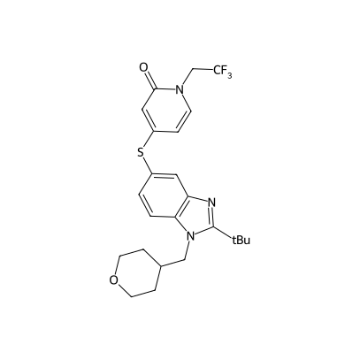 CC(C)(C)c1nc2cc(Sc3ccn(CC(F)(F)F)c(=O)c3)ccc2n1CC1CCOCC1